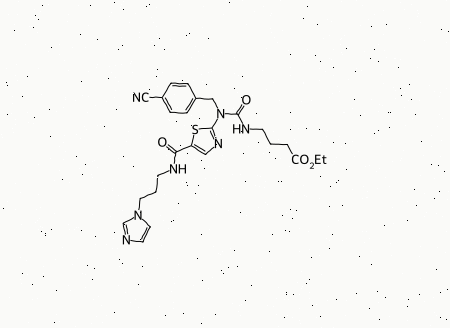 CCOC(=O)CCCNC(=O)N(Cc1ccc(C#N)cc1)c1ncc(C(=O)NCCCn2ccnc2)s1